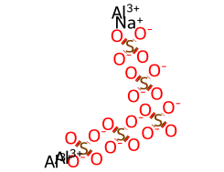 O=S(=O)([O-])[O-].O=S(=O)([O-])[O-].O=S(=O)([O-])[O-].O=S(=O)([O-])[O-].O=S(=O)([O-])[O-].[Al+3].[Al+3].[Al+3].[Na+]